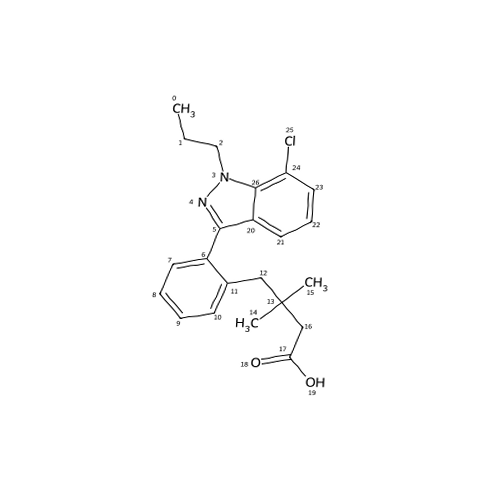 CCCn1nc(-c2ccccc2CC(C)(C)CC(=O)O)c2cccc(Cl)c21